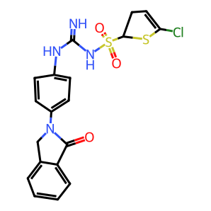 N=C(Nc1ccc(N2Cc3ccccc3C2=O)cc1)NS(=O)(=O)C1CC=C(Cl)S1